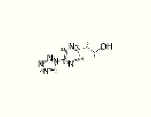 OCCc1cnc(-n2cnnn2)cn1